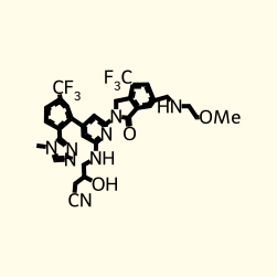 COCCNCc1cc2c(c(C(F)(F)F)c1)CN(c1cc(-c3cc(C(F)(F)F)ccc3-c3nncn3C)cc(NCC(O)CC#N)n1)C2=O